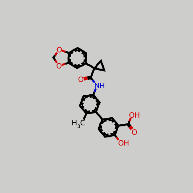 Cc1ccc(NC(=O)C2(c3ccc4c(c3)OCO4)CC2)cc1-c1ccc(O)c(C(=O)O)c1